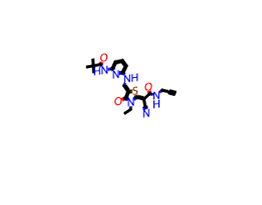 C#CCNC(=O)C(C#N)=c1sc(=CNc2cccc(NC(=O)C(C)(C)C)n2)c(=O)n1CC